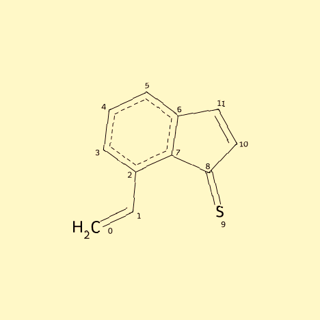 C=Cc1cccc2c1C(=S)C=C2